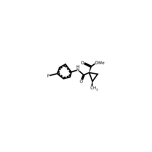 COC(=O)[C@@]1(C(=O)Nc2ccc(F)cc2)C[C@H]1C